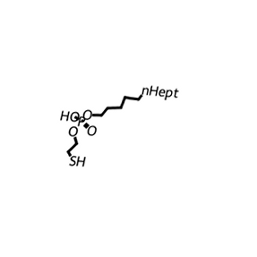 CCCCCCCCCCCCOP(=O)(O)OCCS